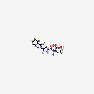 CC(C)C[C@H](NC(=O)C1CC(NC(=O)c2ccccc2)CN1)C(=O)O